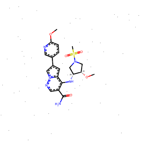 COc1ccc(-c2cc3c(N[C@@H]4CN(S(C)(=O)=O)C[C@@H]4OC)c(C(N)=O)cnn3c2)cn1